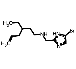 C=CCC(CC)CCNCc1ncc(Br)[nH]1